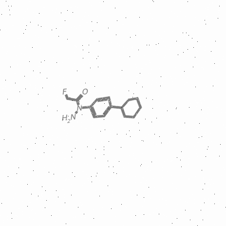 NN(C(=O)CF)c1ccc(C2CCCCC2)cc1